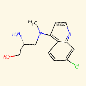 CN(C[C@@H](N)CO)c1ccnc2cc(Cl)ccc12